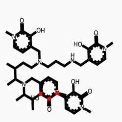 CC(CCN(CCCNCc1ccn(C)c(=O)c1O)Cc1ccn(C)c(=O)c1O)C(C)N(Cc1ccn(C)c(=O)c1O)C(C)C(C)C(C)NCc1ccn(C)c(=O)c1O